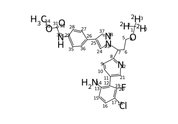 [2H]C([2H])([2H])OCCC(c1ccc(-c2c(N)ccc(Cl)c2F)cn1)n1cc(-c2ccc(NC(=O)OC)cc2)cn1